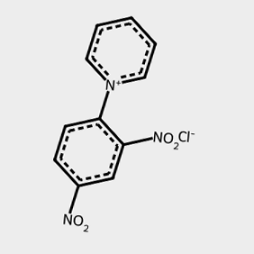 O=[N+]([O-])c1ccc(-[n+]2ccccc2)c([N+](=O)[O-])c1.[Cl-]